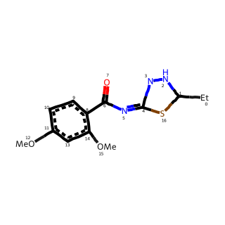 CCC1N[N]C(=NC(=O)c2ccc(OC)cc2OC)S1